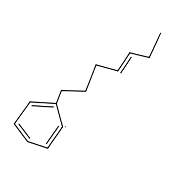 CCC=CCCCc1[c]cccc1